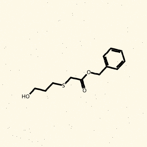 O=C(CSCCCO)OCc1ccccc1